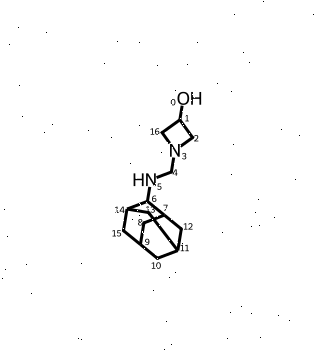 OC1CN(CNC2C3CC4CC(C3)CC2C4)C1